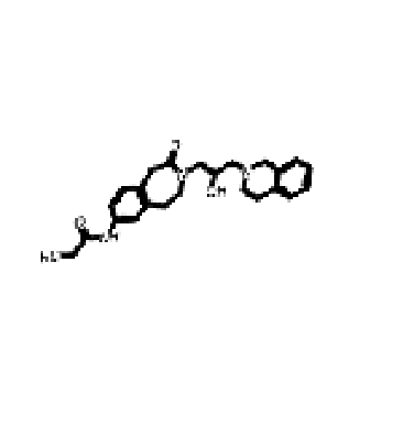 O=C(CO)Nc1ccc2c(c1)CCN(CC(O)CN1CCc3ccccc3C1)C(=O)C2